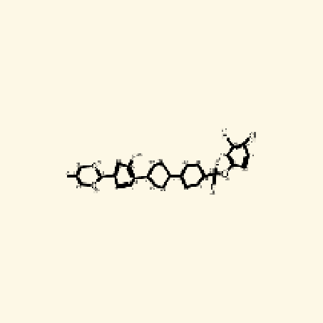 CC1COC(c2ccc(C3CCC(C4CCC(C(F)(F)Oc5ccc(Cl)c(F)c5)CC4)CC3)c(F)c2)OC1